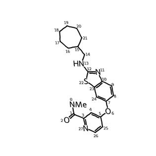 CNC(=O)c1cc(Oc2ccc3nc(NCC4CCCCCC4)sc3c2)ccn1